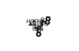 CC(C)C[C@H](NC(=O)C1(Cc2ccccc2)CC(CN(C)C(=O)c2nccc3ccccc23)=NO1)B(O)O